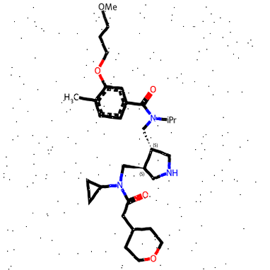 COCCCOc1cc(C(=O)N(C[C@@H]2CNC[C@H]2CN(C(=O)CC2CCOCC2)C2CC2)C(C)C)ccc1C